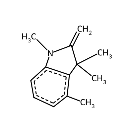 C=C1N(C)c2cccc(C)c2C1(C)C